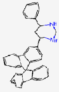 c1ccc(C2CC(c3ccc4c(c3)-c3ccccc3C43c4ccccc4-c4ccccc43)NCN2)cc1